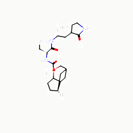 CC(C)C[C@H](NC(=O)C[C@@H]1C2CO[C@@H]3CC[C@H]1C3C2)C(=O)N[C@H](C=O)CC1CCNC1=O